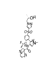 C[C@H](O)Cn1cc(S(=O)(=O)c2ccc(OC(F)F)c(-c3nn(C)cc3NC(=O)c3cnn4cccnc34)c2)cn1